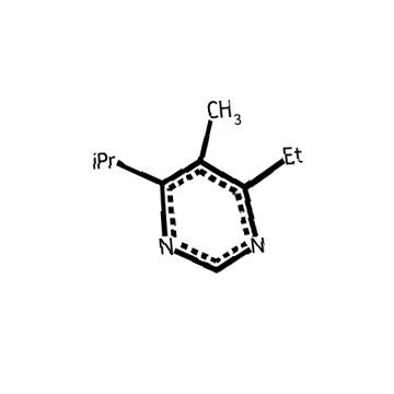 CCc1ncnc(C(C)C)c1C